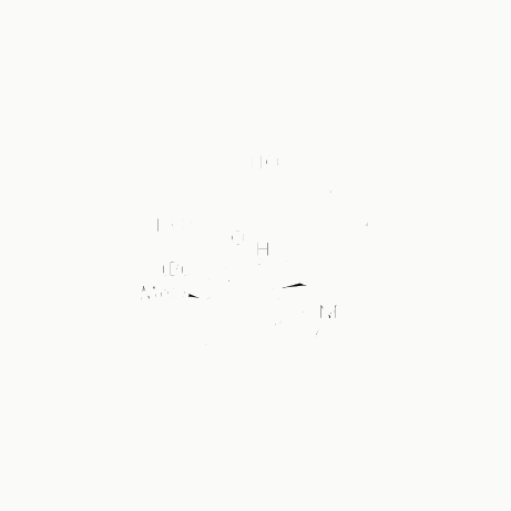 CO[C@]12CC[C@@]3(C[C@@H]1[C@](C)(O)C(C)(C)C)C1Cc4ccc(O)c5c4[C@@]3(CCN1)C2O5